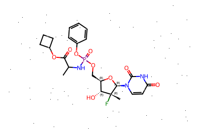 CC(NP(=O)(OC[C@H]1O[C@@H](n2ccc(=O)[nH]c2=O)[C@](C)(F)[C@@H]1O)Oc1ccccc1)C(=O)OC1CCC1